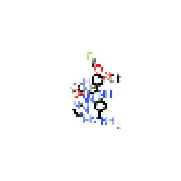 CC(=O)O.CCOc1cc(C(Nc2ccc(C(=N)N)cc2)c2nn(-c3ncccn3)c(=O)[nH]2)ccc1OCCF